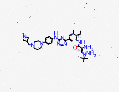 C=C(/C=C(C)\C(=C/C)CNC(=O)/C(N)=C/N(N)C(C)(C)C)c1ncnc(Nc2ccc(N3CCCN(CC4CN(C)C4)CC3)cc2)n1